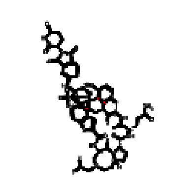 CC(C)(C)c1ccc(C[C@H](NC(=O)[C@H](CCC(N)=O)NC(=O)[C@@H]2CC[C@@H]3CCN(CC(F)F)C[C@H](NC(=O)c4cc5cc(C(F)(F)P(=O)(O)O)ccc5s4)C(=O)N32)C(=O)N2CCC3(CCC(Nc4ccc5c(c4)C(=O)N(C4CCC(=O)NC4=O)C5=O)CC3)CC2)cc1